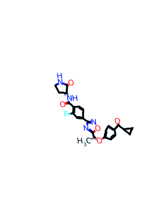 C[C@@H](Oc1ccc(C(=O)C2CC2)cc1)c1nc(-c2ccc(C(=O)N[C@@H]3CCNC3=O)c(F)c2)no1